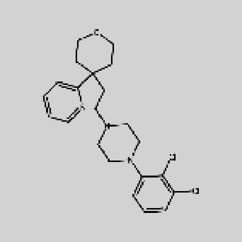 Clc1cccc(N2CCN(CCC3(c4ccccn4)CCOCC3)CC2)c1Cl